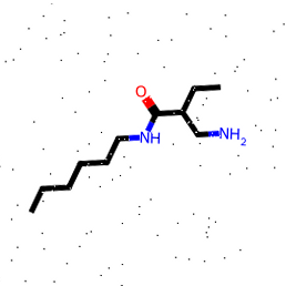 CCCCCCNC(=O)C(CC)CN